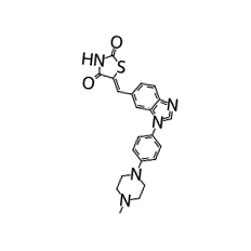 CN1CCN(c2ccc(-n3cnc4ccc(/C=C5\SC(=O)NC5=O)cc43)cc2)CC1